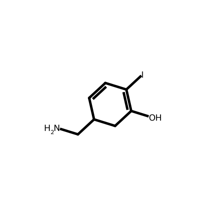 NCC1C=CC(I)=C(O)C1